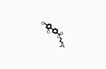 CN(C)CCCOC(=O)c1ccc(-c2ccc(Cl)cc2Cl)cc1